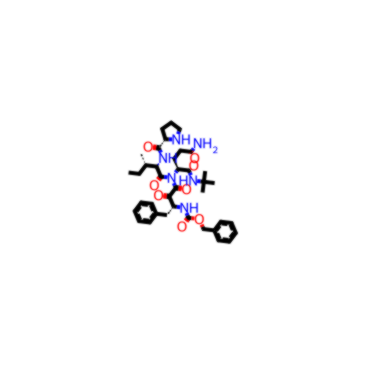 CC[C@H](C)[C@H](NC(=O)[C@@H]1CCCN1)C(=O)N(C(=O)C(=O)[C@@H](Cc1ccccc1)NC(=O)OCc1ccccc1)[C@@H](CCC(N)=O)C(=O)NC(C)(C)C